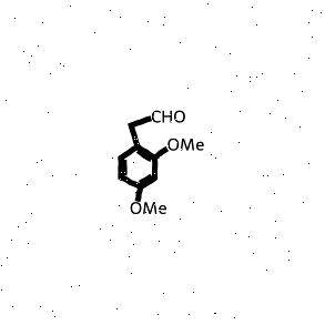 COc1ccc(CC=O)c(OC)c1